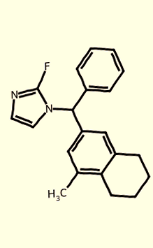 Cc1cc(C(c2ccccc2)n2ccnc2F)cc2c1CCCC2